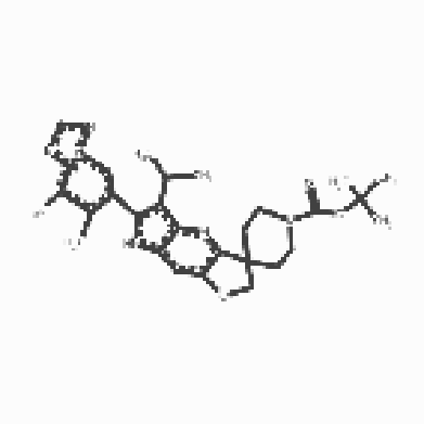 Cc1c(-c2[nH]c3cc4c(nc3c2C(C)C)C2(CCN(C(=O)OC(C)(C)C)CC2)CO4)cn2ncnc2c1C